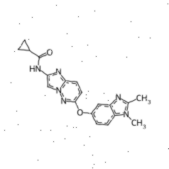 Cc1nc2cc(Oc3ccc4nc(NC(=O)C5CC5)cn4n3)ccc2n1C